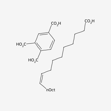 CCCCCCCC/C=C\CCCCCCCC(=O)O.O=C(O)c1ccc(C(=O)O)c(C(=O)O)c1